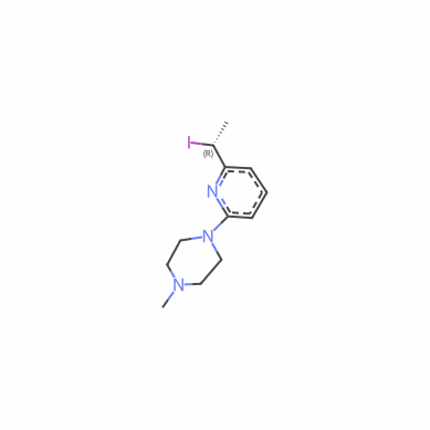 C[C@@H](I)c1cccc(N2CCN(C)CC2)n1